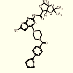 CCc1cc2c(N3CCN(C(=O)c4ccc(-c5ccccc5)cc4)CC3)nc(NC(=O)C3OC(OC)[C@@H]4OC(C)(C)O[C@H]34)nc2s1